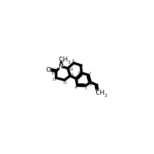 C=Cc1ccc2c(c1)CCC1C2CCC(=O)N1C